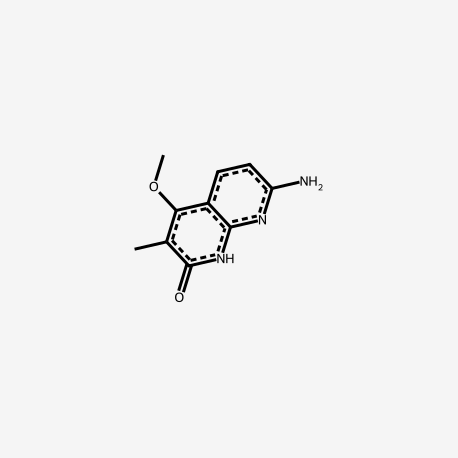 COc1c(C)c(=O)[nH]c2nc(N)ccc12